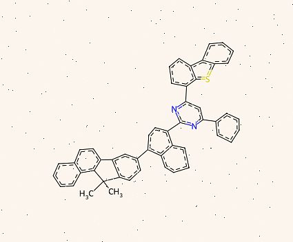 CC1(C)c2ccc(-c3ccc(-c4nc(-c5ccccc5)cc(-c5cccc6c5sc5ccccc56)n4)c4ccccc34)cc2-c2ccc3ccccc3c21